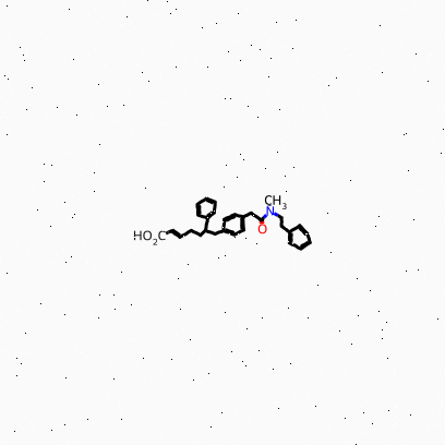 CN(CCc1ccccc1)C(=O)Cc1ccc(CC(CCC=CC(=O)O)c2ccccc2)cc1